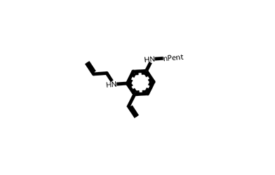 C=CCNc1cc(NCCCCC)ccc1C=C